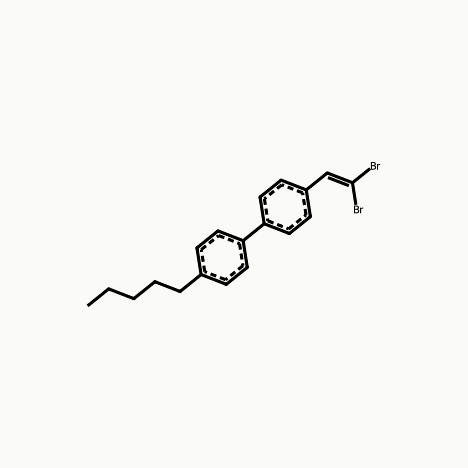 CCCCCc1ccc(-c2ccc(C=C(Br)Br)cc2)cc1